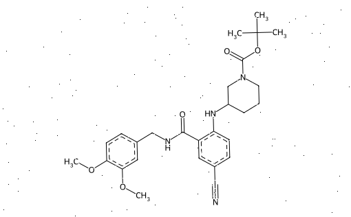 COc1ccc(CNC(=O)c2cc(C#N)ccc2NC2CCCN(C(=O)OC(C)(C)C)C2)cc1OC